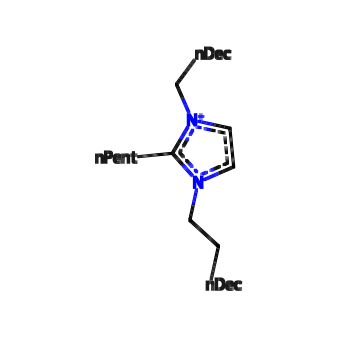 CCCCCCCCCCCCn1cc[n+](CCCCCCCCCCC)c1CCCCC